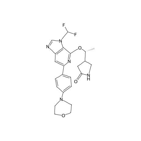 C[C@@H](Oc1nc(-c2ccc(N3CCOCC3)cc2)cc2ncn(C(F)F)c12)C1CNC(=O)C1